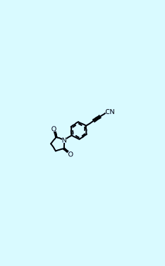 N#CC#Cc1ccc(N2C(=O)CCC2=O)cc1